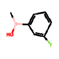 CB(O)c1cccc(F)c1